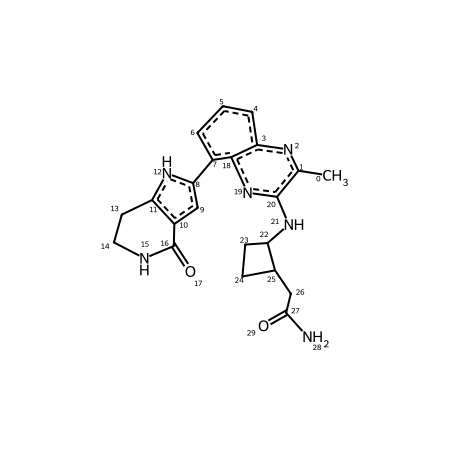 Cc1nc2cccc(-c3cc4c([nH]3)CCNC4=O)c2nc1NC1CCC1CC(N)=O